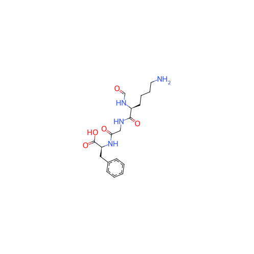 NCCCC[C@H](NC=O)C(=O)NCC(=O)N[C@@H](Cc1ccccc1)C(=O)O